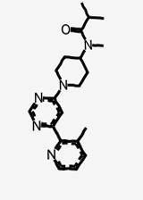 Cc1cccnc1-c1cc(N2CCC(N(C)C(=O)C(C)C)CC2)ncn1